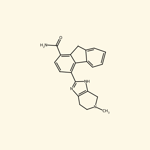 CN1CCc2nc(-c3ccc(C(N)=O)c4c3-c3ccccc3[CH]4)[nH]c2C1